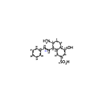 Nc1ccc2c(O)cc(S(=O)(=O)O)cc2c1/N=N/c1ccccc1